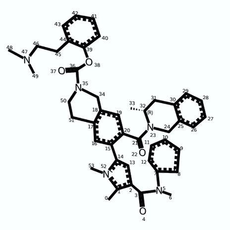 Cc1c(C(=O)N(C)c2ccccc2)cc(-c2cc3c(cc2C(=O)N2Cc4ccccc4C[C@H]2C)CN(C(=O)Oc2ccccc2CCN(C)C)CC3)n1C